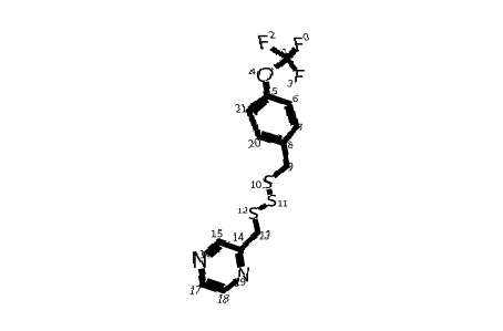 FC(F)(F)Oc1ccc(CSSSCc2cnccn2)cc1